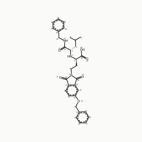 CC(C)C[C@H](N[C@H](CCN1C(=O)c2ccc(OCc3ccccc3)cc2C1=O)C(=O)O)C(=O)NCc1ccccc1